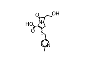 Cc1ccc(CSC2=C(C(=O)O)N3C(=O)C(CCO)C3C2)cn1